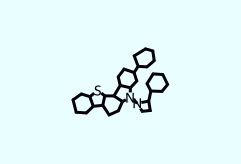 C1CCC(C2CCC3C4C5SC6CCCCC6C5CCC4N(N4CCC4C4CCCCC4)C3C2)CC1